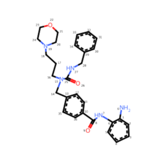 Nc1ccccc1NC(=O)c1ccc(CN(CCCN2CCOCC2)C(=O)NCc2ccccc2)cc1